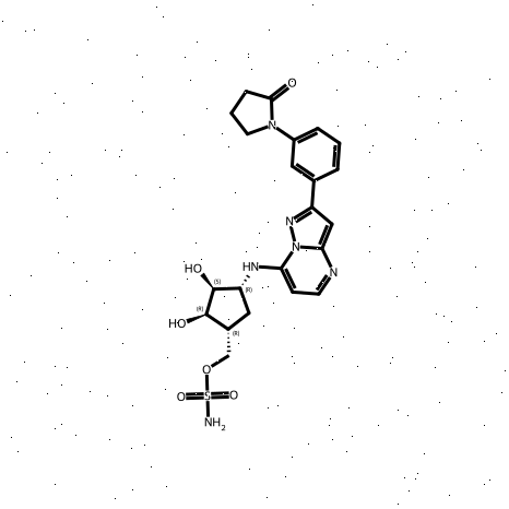 NS(=O)(=O)OC[C@H]1C[C@@H](Nc2ccnc3cc(-c4cccc(N5CCCC5=O)c4)nn23)[C@H](O)[C@@H]1O